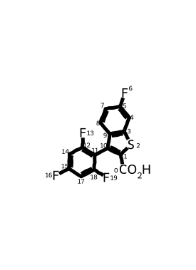 O=C(O)c1sc2cc(F)ccc2c1-c1c(F)cc(F)cc1F